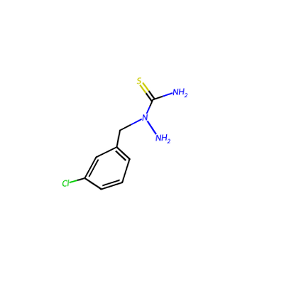 NC(=S)N(N)Cc1cccc(Cl)c1